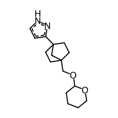 c1cc(C23CCC(COC4CCCCO4)(CC2)C3)n[nH]1